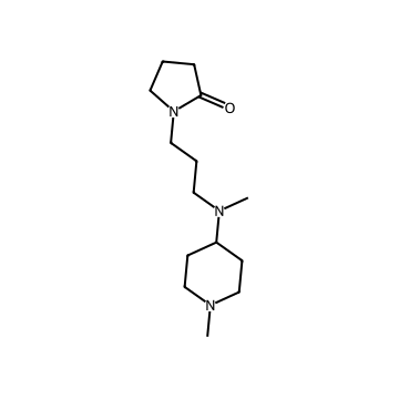 CN1CCC(N(C)CCCN2CCCC2=O)CC1